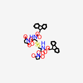 O=C(NC(CSSCC(NC(=O)OCC1c2ccccc2-c2ccccc21)C(=O)ON1C(=O)CCC1=O)C(=O)ON1C(=O)CCC1=O)OCC1c2ccccc2-c2ccccc21